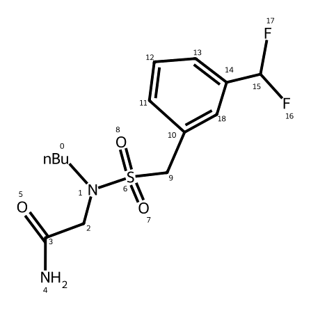 CCCCN(CC(N)=O)S(=O)(=O)Cc1cccc(C(F)F)c1